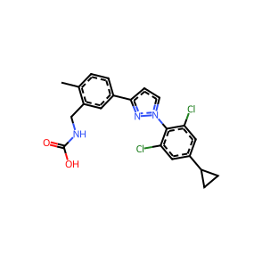 Cc1ccc(-c2ccn(-c3c(Cl)cc(C4CC4)cc3Cl)n2)cc1CNC(=O)O